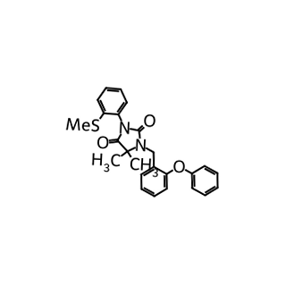 CSc1ccccc1N1C(=O)N(Cc2ccccc2Oc2ccccc2)C(C)(C)C1=O